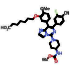 COc1ccc(-c2c(-c3ccc(C#N)c(F)c3)nc(N3CCC(NC(=O)OC(C)(C)C)CC3)n3ccnc23)cc1OCCCCCCC(=O)O